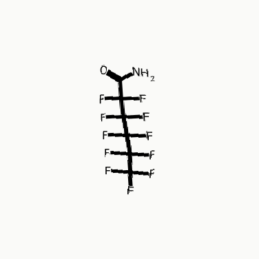 NC(=O)C(F)(F)C(F)(F)C(F)(F)C(F)(F)C(F)(F)F